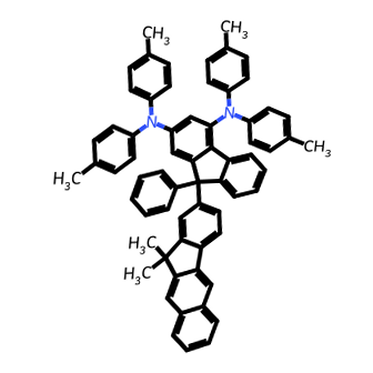 Cc1ccc(N(c2ccc(C)cc2)c2cc(N(c3ccc(C)cc3)c3ccc(C)cc3)c3c(c2)C(c2ccccc2)(c2ccc4c(c2)C(C)(C)c2cc5ccccc5cc2-4)c2ccccc2-3)cc1